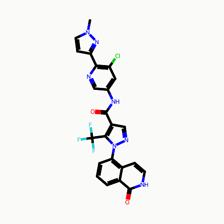 Cn1ccc(-c2ncc(NC(=O)c3cnn(-c4cccc5c(=O)[nH]ccc45)c3C(F)(F)F)cc2Cl)n1